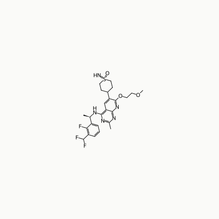 COCCOc1nc2nc(C)nc(N[C@H](C)c3cccc(C(F)F)c3F)c2cc1C1CCS(=N)(=O)CC1